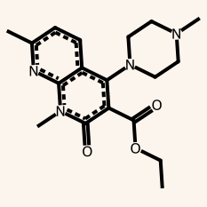 CCOC(=O)c1c(N2CCN(C)CC2)c2ccc(C)nc2n(C)c1=O